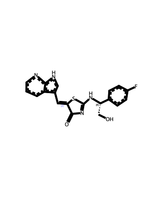 O=C1N=C(N[C@@H](CO)c2ccc(F)cc2)S/C1=C\c1c[nH]c2ncccc12